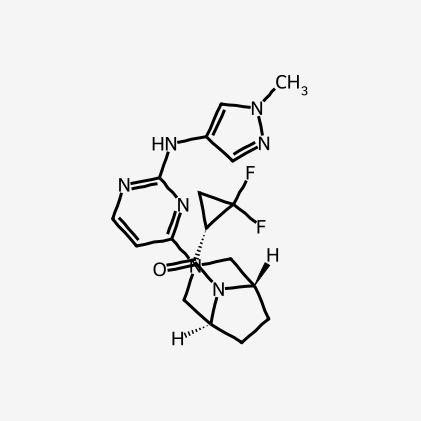 Cn1cc(Nc2nccc(N3C[C@@H]4CC[C@@H](C3)N4C(=O)[C@@H]3CC3(F)F)n2)cn1